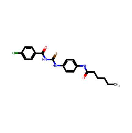 CCCCCC(=O)Nc1ccc(NC(=S)NC(=O)c2ccc(Cl)cc2)cc1